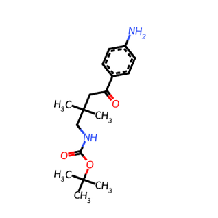 CC(C)(CNC(=O)OC(C)(C)C)CC(=O)c1ccc(N)cc1